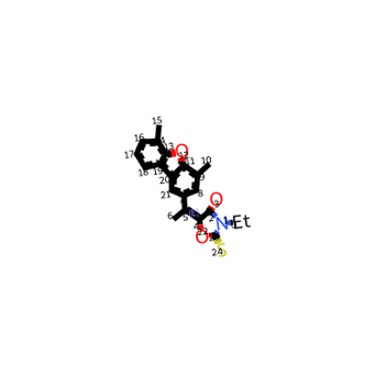 CCN1C(=O)/C(=C(/C)c2cc(C)c3oc4c(C)cccc4c3c2)OC1=S